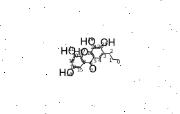 CCCc1cc(C(=O)c2cc(O)cc(O)c2)c(O)c(O)c1O